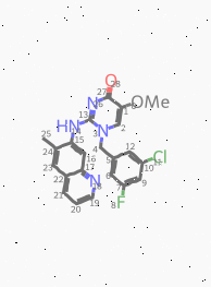 COc1cn(Cc2cc(F)cc(Cl)c2)c(Nc2cc3ncccc3cc2C)nc1=O